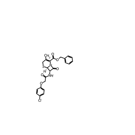 CC1=C(C(=O)OCc2ccccc2)N2C(=O)[C@@H](NC(=O)COc3ccc(Cl)cc3)[C@H]2SC1